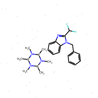 CB1N(C)B(C)N(C)B(C)N1C.FC(F)c1nc2ccccc2n1Cc1ccccc1